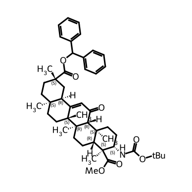 COC(=O)[C@]1(C)[C@@H](NC(=O)OC(C)(C)C)CC[C@@]2(C)[C@H]1CC[C@]1(C)[C@@H]2C(=O)C=C2[C@@H]3C[C@@](C)(C(=O)OC(c4ccccc4)c4ccccc4)CC[C@]3(C)CC[C@]21C